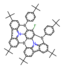 CC(C)(C)c1ccc(B2c3c(F)c4c5c6c3-n3c7c2cc(C(C)(C)C)cc7c2cc(C(C)(C)C)cc(c23)B6c2cc(C(C)(C)C)cc3c6cc(C(C)(C)C)cc(c6n-5c23)B4c2ccc(C(C)(C)C)cc2)cc1